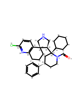 O=CN1CC[C@H](c2ccccc2)C[C@]1(C1CCCCC1)[C@@H]1CNC[C@]12CCCc1nc(Cl)ccc12